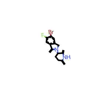 C=C1CCC(N2Cc3cc(Br)c(F)cc3C2=C)C(=C)N1